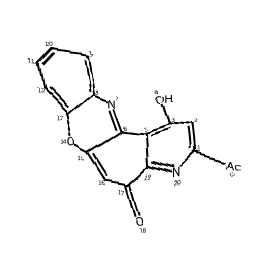 CC(=O)c1cc(O)c2c3nc4ccccc4oc-3cc(=O)c2n1